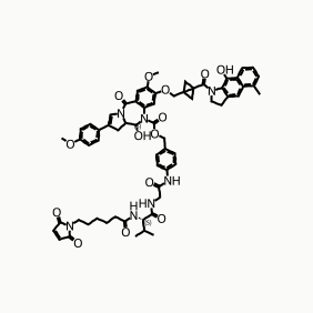 COc1ccc(C2=CN3C(=O)c4cc(OC)c(OCC56CC5(C(=O)N5CCc7cc8c(C)cccc8c(O)c75)C6)cc4N(C(=O)OCc4ccc(NC(=O)CNC(=O)[C@@H](NC(=O)CCCCCN5C(=O)C=CC5=O)C(C)C)cc4)[C@@H](O)C3C2)cc1